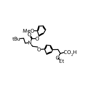 CCOC(Cc1ccc(OCCN(CCC(C)(C)C)C(=O)Oc2ccccc2OC)cc1)C(=O)O